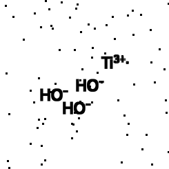 [OH-].[OH-].[OH-].[Ti+3]